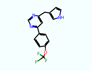 FC(F)(F)Oc1ccc(-c2cc(Cc3cc[nH]c3)ncn2)cc1